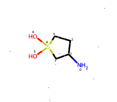 NC1CCS(O)(O)C1